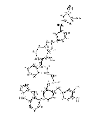 Cn1nccc1Nc1nccc(-c2ccn([C@H](CCOOC[C@H](c3ccccc3)N3CCCn4cc(-c5ccnc(N[C@@H]6C[C@H](O)[C@@H](F)C6)n5)cc4C3=O)c3ccc(Cl)c(F)c3)c(=O)c2)n1